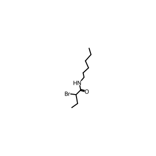 CCCCCCNC(=O)C(Br)CC